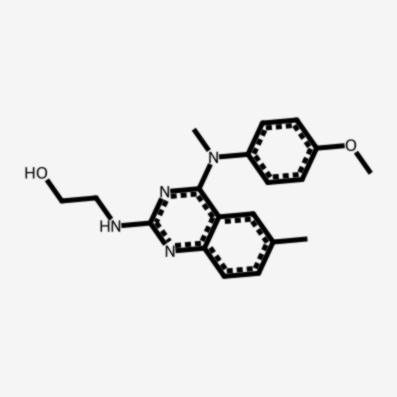 COc1ccc(N(C)c2nc(NCCO)nc3ccc(C)cc23)cc1